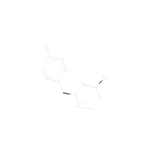 N[C@H]1CCN[C@@H](Cc2ccc(Cl)cc2)C1